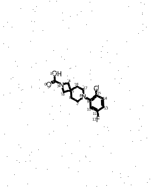 O=C(O)N1CC2(CCN(c3cc(F)ccc3Cl)CC2)C1